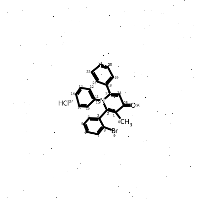 Cc1c(-c2ccccc2Br)n(-c2ccccc2)c(-c2ccccc2)cc1=O.Cl